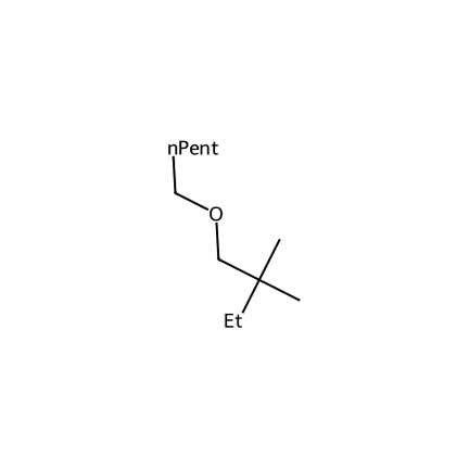 [CH2]CC(C)(C)COCCCCCC